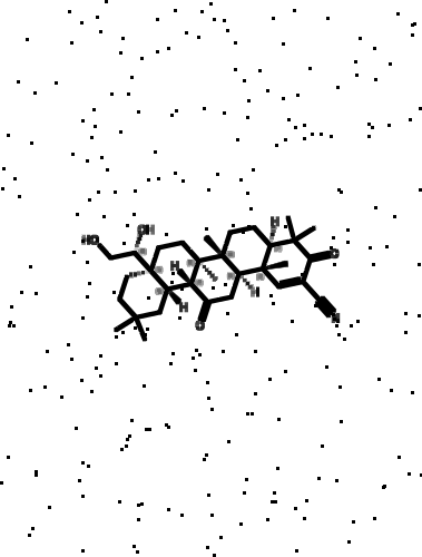 CC1(C)CC[C@]2([C@@H](O)CO)CC[C@]3(C)[C@H](C(=O)C[C@@H]4[C@@]5(C)C=C(C#N)C(=O)C(C)(C)[C@@H]5CC[C@]43C)[C@@H]2C1